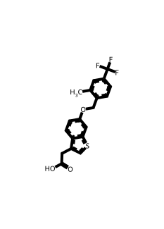 Cc1cc(C(F)(F)F)ccc1COc1ccc2c(CC(=O)O)csc2c1